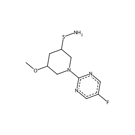 COC1CC(SN)CN(c2ncc(F)cn2)C1